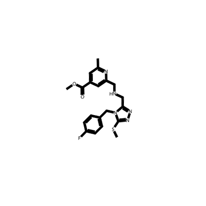 COC(=O)c1cc(C)nc(CNCc2nnc(SC)n2Cc2ccc(F)cc2)c1